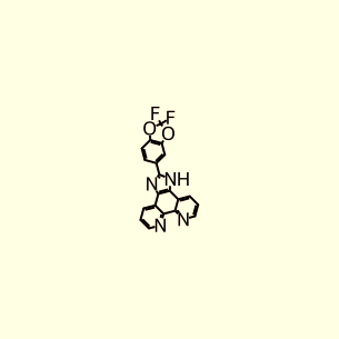 FC1(F)Oc2ccc(-c3nc4c5cccnc5c5ncccc5c4[nH]3)cc2O1